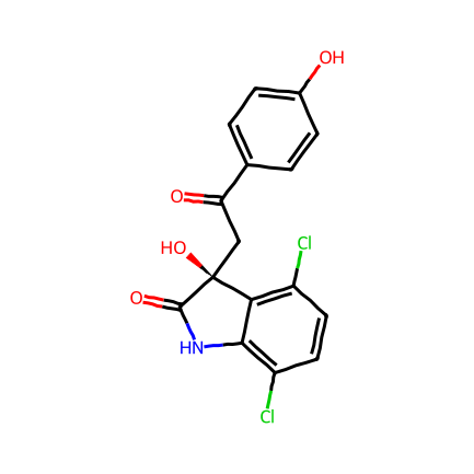 O=C(C[C@@]1(O)C(=O)Nc2c(Cl)ccc(Cl)c21)c1ccc(O)cc1